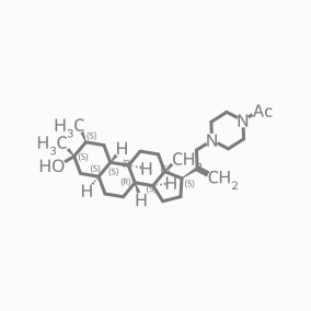 C=C(CN1CCN(C(C)=O)CC1)[C@H]1CC[C@H]2[C@@H]3CC[C@H]4C[C@](C)(O)[C@@H](C)C[C@@H]4[C@H]3CC[C@]12C